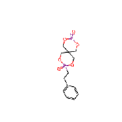 O=[PH]1OCC2(CO1)COP(=O)(CCc1ccccc1)OC2